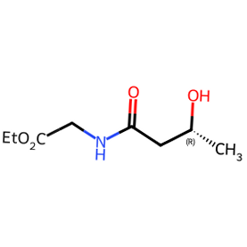 CCOC(=O)CNC(=O)C[C@@H](C)O